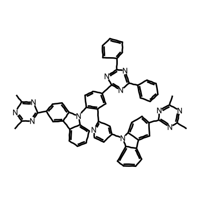 Cc1nc(C)nc(-c2ccc3c(c2)c2ccccc2n3-c2ccnc(-c3cc(-c4nc(-c5ccccc5)nc(-c5ccccc5)n4)ccc3-n3c4ccccc4c4cc(-c5nc(C)nc(C)n5)ccc43)c2)n1